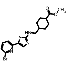 COC(=O)C1CCC(CNc2ncc(-c3cccc(Br)n3)s2)CC1